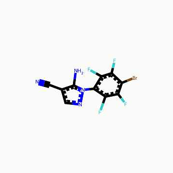 N#Cc1cnn(-c2c(F)c(F)c(Br)c(F)c2F)c1N